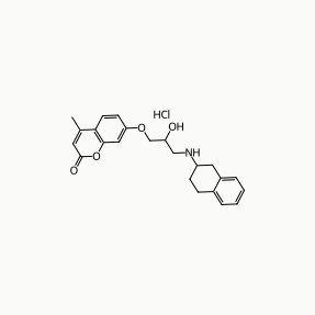 Cc1cc(=O)oc2cc(OCC(O)CNC3CCc4ccccc4C3)ccc12.Cl